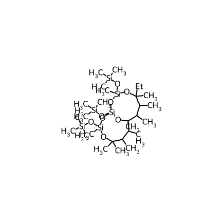 CCC1(C)O[Si](C)(O[Si](C)(C)C)O[Si]2(O[Si](C)(C)C)OC(C)(C(C)C(C)C(C)(C)O[Si](C)(O[Si](C)(C)C)O2)C(C)C1C